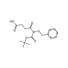 CC(C)(C)OC(=O)N(SCc1ccccc1)C(=O)CCC(=O)O